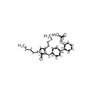 CCCCc1cn(CCCC)c(=O)n1Cc1ccc(-c2ccccc2OC(=O)O)cc1